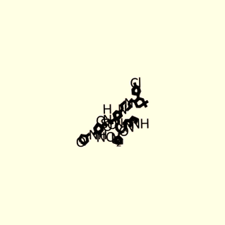 CC1(C)CCC(CN2CCN(c3ccc(C(=O)NS(=O)(=O)c4ccc(NCC5CCOCC5)c([N+](=O)[O-])c4)c(N4CC[C@H](c5ccccn5)Oc5nc6[nH]ccc6cc54)c3)CC2)=C(c2ccc(Cl)cc2)C1